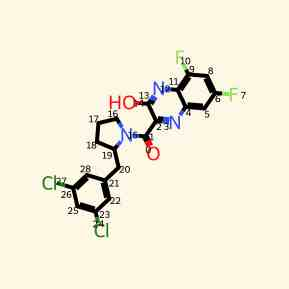 O=C(c1nc2cc(F)cc(F)c2nc1O)N1CCCC1Cc1cc(Cl)cc(Cl)c1